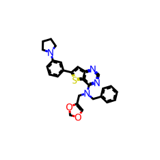 C1=C(CN(Cc2ccccc2)c2ncnc3cc(-c4cccc(N5CCCC5)c4)sc23)OCO1